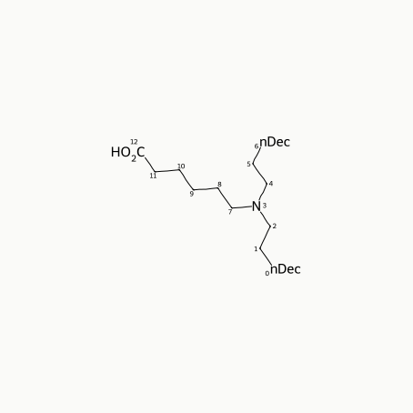 CCCCCCCCCCCCN(CCCCCCCCCCCC)CCCCCC(=O)O